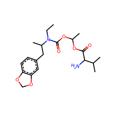 CCN(C(=O)OC(C)OC(=O)C(N)C(C)C)C(C)Cc1ccc2c(c1)OCO2